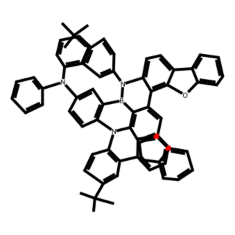 CC(C)(C)c1ccc(N2B3c4cc(N(c5ccccc5)c5ccccc5)ccc4N(c4ccc(C(C)(C)C)cc4-c4ccccc4)c4c3c(cc3c4oc4ccccc43)-c3c2ccc2c3oc3ccccc32)cc1